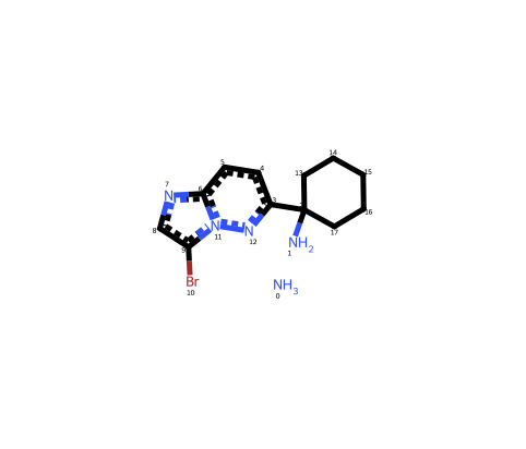 N.NC1(c2ccc3ncc(Br)n3n2)CCCCC1